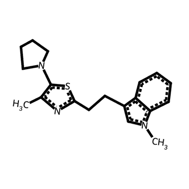 Cc1nc(CCc2cn(C)c3ccccc23)sc1N1CCCC1